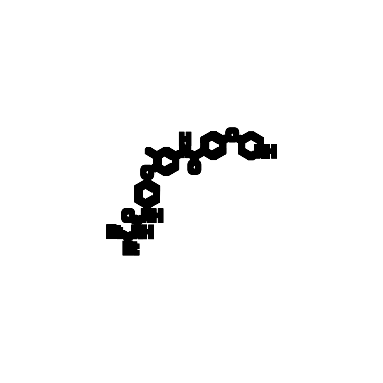 CCC(CC)NC(=O)Nc1ccc(Oc2ccc(NC(=O)c3ccc(OC4CCNCC4)cc3)cc2C)cc1